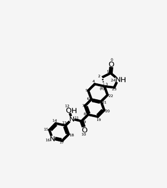 O=C1C[C@]2(CCc3cc(C(=O)N(O)c4ccncc4)ccc3C2)CN1